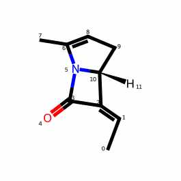 C/C=C1\C(=O)N2C(C)=CC[C@H]12